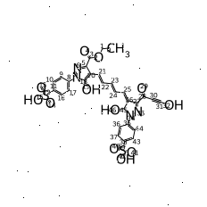 CCOC(=O)c1nn(-c2ccc(S(=O)(=O)O)cc2)c(O)c1C=CC=CC=C1C(C(=O)C#CO)=NN(c2ccc(S(=O)(=O)O)cc2)C1O